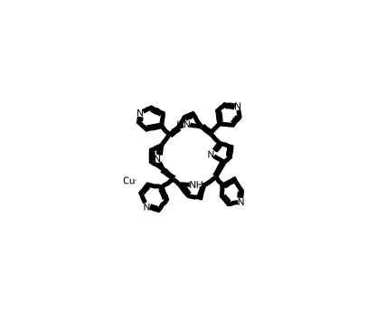 C1=Cc2nc1c(-c1ccncc1)c1ccc([nH]1)c(-c1ccncc1)c1nc(c(-c3ccncc3)c3ccc([nH]3)c2-c2ccncc2)C=C1.[Cu]